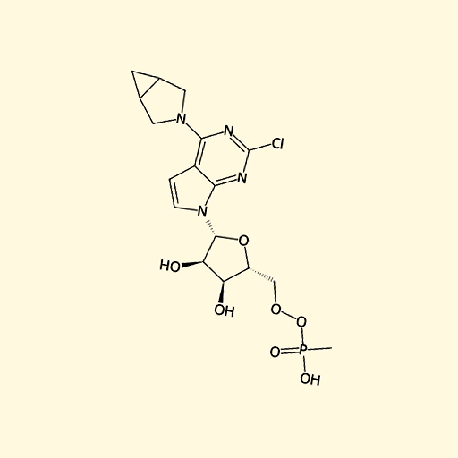 CP(=O)(O)OOC[C@H]1O[C@@H](n2ccc3c(N4CC5CC5C4)nc(Cl)nc32)[C@H](O)[C@@H]1O